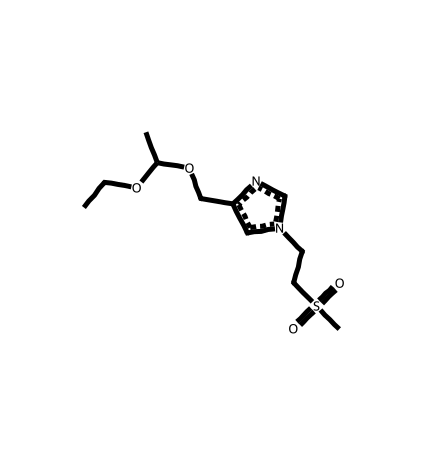 CCOC(C)OCc1cn(CCS(C)(=O)=O)cn1